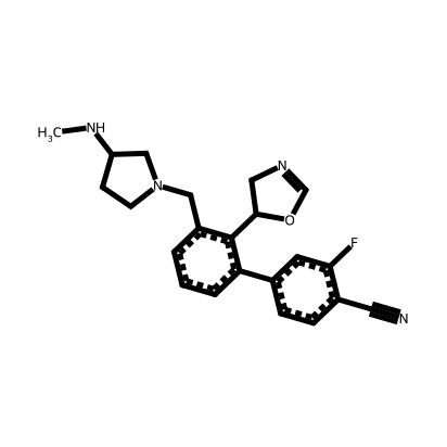 CNC1CCN(Cc2cccc(-c3ccc(C#N)c(F)c3)c2C2CN=CO2)C1